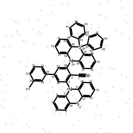 N#Cc1c(N2c3ccccc3Sc3ccccc32)cc(-c2cccc(I)c2)cc1N1c2ccccc2S(c2ccccc2)(c2ccccc2)c2ccccc21